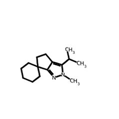 CC(C)c1c2c(nn1C)C1(CCCCC1)CC2